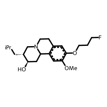 COc1cc2c(cc1OCCCF)CCN1C[C@@H](CC(C)C)[C@H](O)CC21